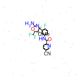 CO[C@@H]1C(C(F)F)OC(N)=N[C@@]1(C)c1cc(NC(=O)c2ccc(C#N)cn2)ccc1F